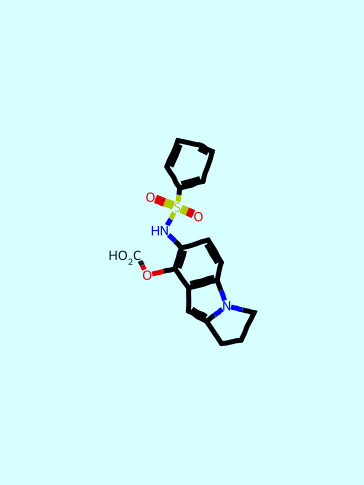 O=C(O)Oc1c(NS(=O)(=O)c2ccccc2)ccc2c1cc1n2CCC1